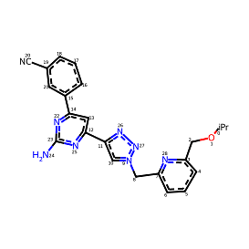 CC(C)OCc1cccc(Cn2cc(-c3cc(-c4cccc(C#N)c4)nc(N)n3)nn2)n1